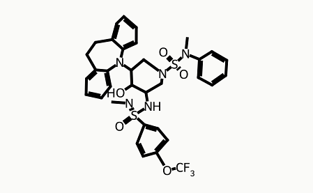 CN=S(=O)(NC1CN(S(=O)(=O)N(C)c2ccccc2)CC(N2c3ccccc3CCc3ccccc32)C1O)c1ccc(OC(F)(F)F)cc1